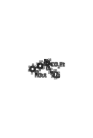 CCCCCCCCOc1ccccc1-c1ccc(-n2ncc(C(=O)OCC)c2OCCN2CCOCC2)cc1